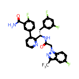 NC(=O)c1cc(-c2cccnc2[C@H](Cc2cc(F)cc(F)c2)NC(=O)Cn2nc(C(F)(F)F)c3cc(F)ccc32)ccc1F